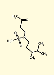 CC(=O)CCN(CCN(C)C(C)C)S(C)(=O)=O